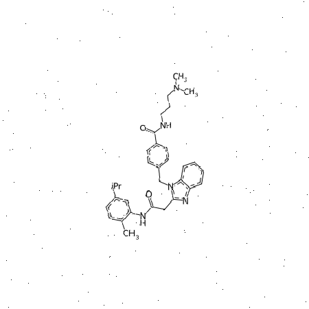 Cc1ccc(C(C)C)cc1NC(=O)Cc1nc2ccccc2n1Cc1ccc(C(=O)NCCCN(C)C)cc1